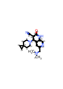 CN(C)Cc1cc2c(N3CCC4(CC3)CC4)c(C#N)c(=O)[nH]c2cn1